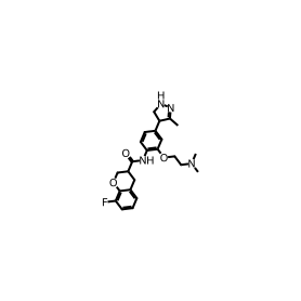 CC1=NNCC1c1ccc(NC(=O)C2COc3c(F)cccc3C2)c(OCCN(C)C)c1